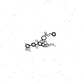 CCNc1ncc2cc(-c3ccc(-c4cncc(C)n4)cc3Cl)c(=O)n(CC3(O)CCN(C(=O)OCc4ccccc4)CC3)c2n1